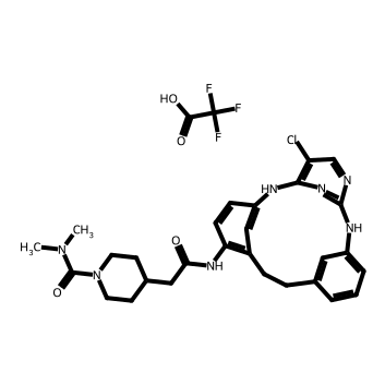 CN(C)C(=O)N1CCC(CC(=O)Nc2ccc3cc2CCc2cccc(c2)Nc2ncc(Cl)c(n2)N3)CC1.O=C(O)C(F)(F)F